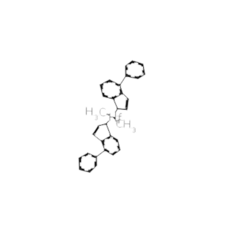 [CH3][Hf]([CH3])([CH]1C=Cc2c(-c3ccccc3)cccc21)[CH]1C=Cc2c(-c3ccccc3)cccc21